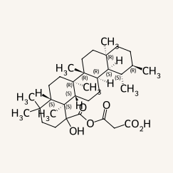 C[C@@H]1[C@H]2[C@H]3CC[C@@H]4[C@]5(C)[C@@H](CC[C@@]4(C)[C@]3(C)CC[C@@]2(C)CC[C@H]1C)C(C)(C)CCC5(O)C(=O)OC(=O)CC(=O)O